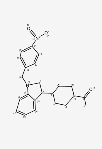 CC(=O)N1CCC(C2CN(Cc3ccc([N+](=O)[O-])cc3)c3ccccc32)CC1